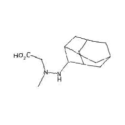 CN(CC(=O)O)NC1C2CC3CC(C2)CC1C3